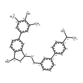 Cc1cc(-c2ccc3c(c2)C(OCc2cccc(-c4ccc(C(C)O)cc4)c2)CC3O)cc(C)c1O